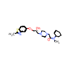 Cc1nc2cc(OC[C@H](O)CN3CCN(CC(=O)N(C)C4CCCCC4)CC3)ccc2s1